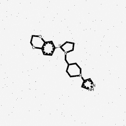 c1cc2c(cc1[C@@H]1CCCN1CC1CCN(c3cn[nH]c3)CC1)OCCO2